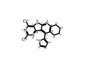 Clc1nc(Cl)c2sc3nc4c(c(-c5cccs5)c3c2n1)CCCC4